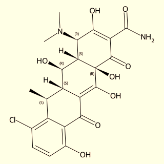 C[C@@H]1c2c(Cl)ccc(O)c2C(=O)C2=C(O)[C@@]3(O)C(=O)C(C(N)=O)=C(O)[C@H](N(C)C)[C@H]3[C@H](O)[C@H]21